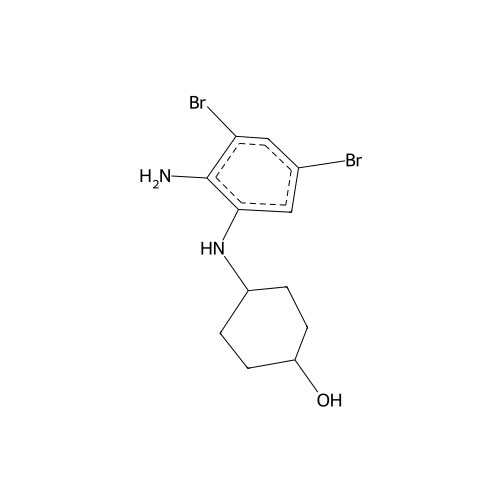 Nc1c(Br)cc(Br)cc1NC1CCC(O)CC1